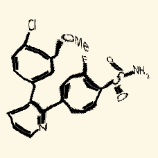 COc1cc(-c2cccnc2-c2ccc(S(N)(=O)=O)c(F)c2)ccc1Cl